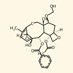 CC(=O)O[C@@]12CO[C@@H]1C[C@H](OCO)[C@@]1(C)CCC3=C(C)CC[C@@](O)([C@@H](OC(=O)c4ccccc4)C12)C3(C)C